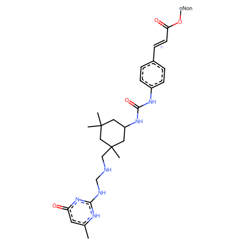 CCCCCCCCCOC(=O)/C=C/c1ccc(NC(=O)NC2CC(C)(C)CC(C)(CNCNc3nc(=O)cc(C)[nH]3)C2)cc1